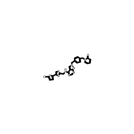 O=c1ccccn1Cc1ccc(Cn2cc3c(NCc4nc(-c5ccc(Cl)s5)cs4)ncnc3n2)cc1